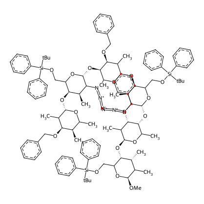 CO[C@H]1OC(CO[Si](c2ccccc2)(c2ccccc2)C(C)(C)C)[C@H](O[C@@H]2OC(C)[C@@H](O[C@H]3OC(CO[Si](c4ccccc4)(c4ccccc4)C(C)(C)C)[C@H](O[C@@H]4OC(C)[C@@H](O[C@H]5OC(CO[Si](c6ccccc6)(c6ccccc6)C(C)(C)C)[C@H](O[C@@H]6OC(C)[C@@H](C)[C@@H](OCc7ccccc7)C6C)[C@H](C)C5N=[N+]=[N-])[C@@H](OCc5ccccc5)C4C)[C@H](C)C3N=[N+]=[N-])[C@@H](OCc3ccccc3)C2C)[C@H](C)C1C